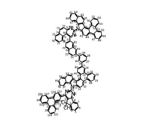 CC1(C)c2ccccc2-c2nc(-n3c4ccc5c6ccccc6c6cc(-c7cccc(-c8ccc9ccc(-c%10nc(-n%11c%12ccc%13c%14ccccc%14c%14ccccc%14c%13c%12c%12ccc%13ccccc%13c%12%11)nc%11ccc%12ccccc%12c%10%11)cc9c8)c7)ccc6c5c4c4ccc5ccccc5c43)nc(-c3ccc4c5ccccc5c5ccccc5c4c3)c21